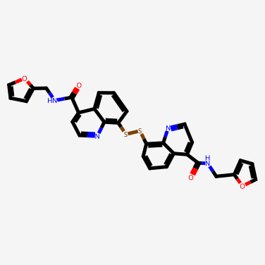 O=C(NCc1ccco1)c1ccnc2c(SSc3cccc4c(C(=O)NCc5ccco5)ccnc34)cccc12